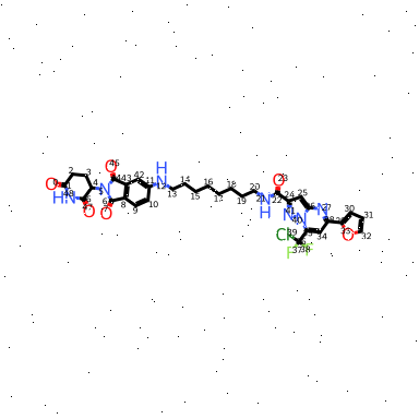 O=C1CCC(N2C(=O)c3ccc(NCCCCCCCCNC(=O)c4cc5nc(-c6ccco6)cc(C(F)(F)Cl)n5n4)cc3C2=O)C(=O)N1